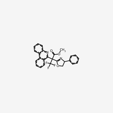 COC(=O)C(C1=NC(c2ccccc2)CO1)(c1nc2ccccc2c2ccccc12)C(F)(F)F